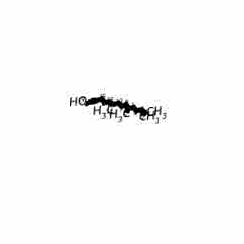 CC(C)=CCC/C(C)=C/CC/C(C)=C/CCC#CCO